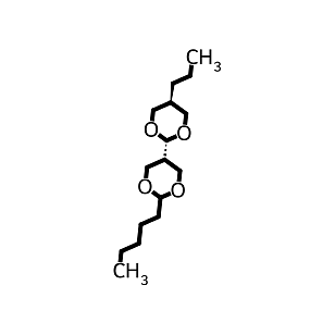 CCCCCC1OCC([C@H]2OC[C@H](CCC)CO2)CO1